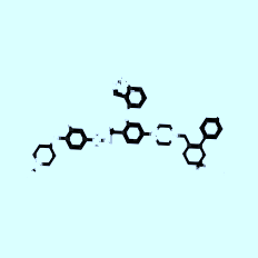 Cc1cc(S(=O)(=O)NC(=O)c2ccc(N3CCN(CC4=C(c5ccc(Cl)cc5)CC(C)(C)CC4)CC3)cc2Oc2cccc3[nH]ncc23)ccc1NC1CCN(C)CC1